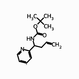 C=CCC(NC(=O)OC(C)(C)C)c1c[c]ccn1